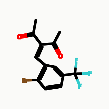 CC(=O)C(=Cc1cc(C(F)(F)F)ccc1Br)C(C)=O